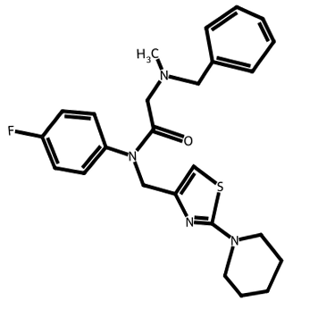 CN(CC(=O)N(Cc1csc(N2CCCCC2)n1)c1ccc(F)cc1)Cc1ccccc1